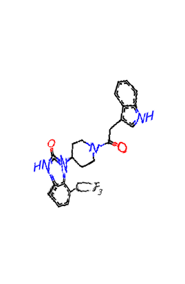 O=C(Cc1c[nH]c2ccccc12)N1CCC(n2c(=O)[nH]c3cccc(C(F)(F)F)c32)CC1